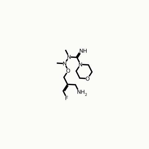 CN(OC/C(=C/F)CN)N(C)C(=N)N1CCOCC1